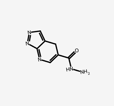 NNC(=O)C1=CN=C2N=NC=C2C1